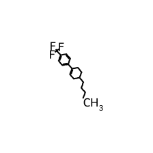 CCCCCC1CC=C(c2ccc(C(F)(F)F)cc2)CC1